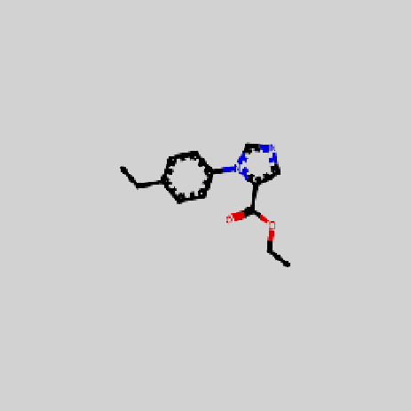 CCOC(=O)c1cncn1-c1ccc(CC)cc1